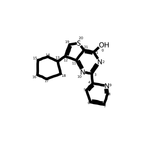 Oc1nc(-c2ccccn2)nc2c(C3CCCCC3)csc12